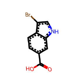 O=C(O)c1ccc2c(Br)c[nH]c2c1